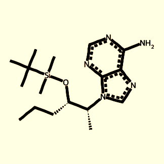 CCC[C@H](O[Si](C)(C)C(C)(C)C)[C@@H](C)n1cnc2c(N)ncnc21